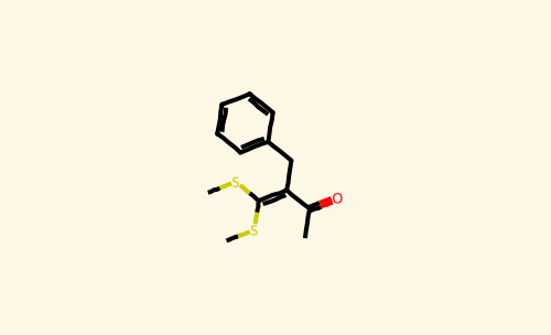 CSC(SC)=C(Cc1ccccc1)C(C)=O